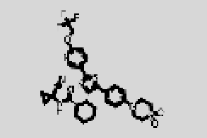 N#CC1(NC(=O)[C@@H]2CCCC[C@H]2c2nc(-c3ccc(OCC(F)(F)F)nc3)sc2-c2ccc(N3CCS(=O)(=O)CC3)cc2)CC1